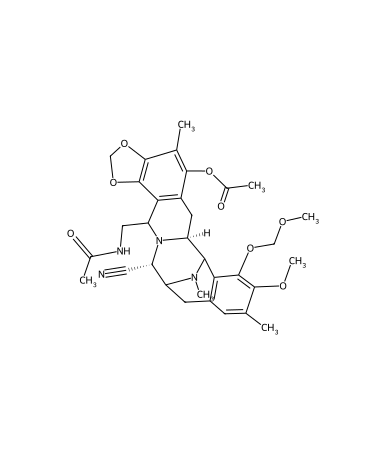 COCOc1c(OC)c(C)cc2c1C1[C@@H]3Cc4c(OC(C)=O)c(C)c5c(c4C(CNC(C)=O)N3[C@@H](C#N)C(C2)N1C)OCO5